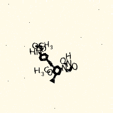 COc1c(C#Cc2ccc(NS(C)(=O)=O)cc2)cc(-n2ccc(=O)[nH]c2=O)cc1C1CC1